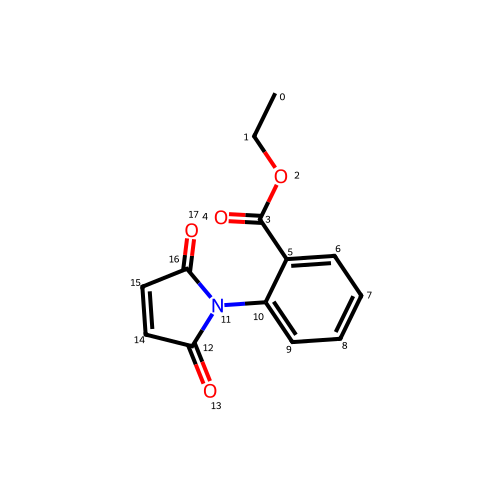 CCOC(=O)c1ccccc1N1C(=O)C=CC1=O